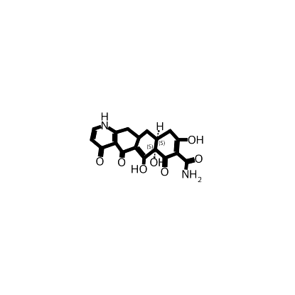 NC(=O)C1=C(O)C[C@@H]2CC3Cc4[nH]ccc(=O)c4C(=O)C3=C(O)[C@]2(O)C1=O